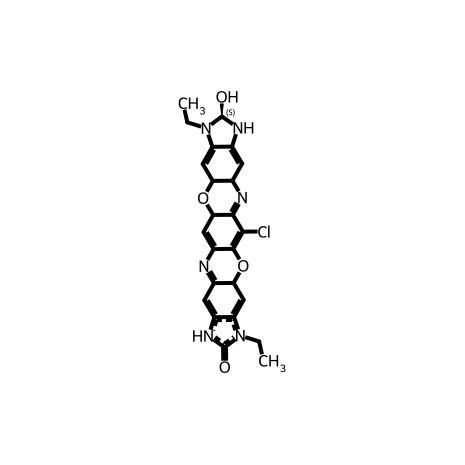 CCN1C2=CC3OC4C=C5N=C6C=c7[nH]c(=O)n(CC)c7=CC6OC5=C(Cl)C4=NC3C=C2N[C@@H]1O